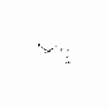 [F-].[F-].[F-].[F][Ge][F].[Y+3]